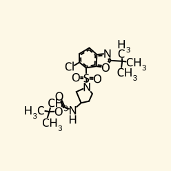 CC(C)(C)OC(=O)NC1CCN(S(=O)(=O)c2c(Cl)ccc3nc(C(C)(C)C)oc23)C1